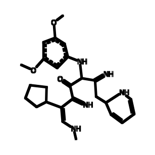 CN/C=C(\C(=N)C(=O)C(Nc1cc(OC)cc(OC)c1)C(=N)CC1C=CC=CN1)C1CCCC1